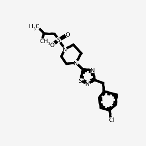 CC(C)CS(=O)(=O)N1CCN(c2nc(Cc3ccc(Cl)cc3)ns2)CC1